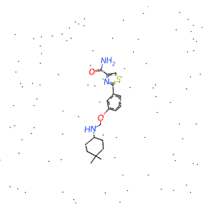 CC1(C)CCC(NCOc2cccc(-c3nc(C(N)=O)cs3)c2)CC1